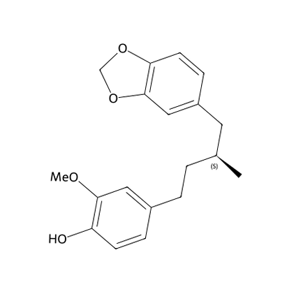 COc1cc(CC[C@H](C)Cc2ccc3c(c2)OCO3)ccc1O